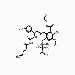 C=CCOC(=O)NC(=S)NC(CSCc1c(O[Si](C)(C)C(C)(C)C(C)C)cc(OC)c(C)c1C(=O)OCC=C)c1nc(C)no1